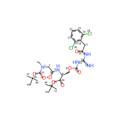 CN(CC(=O)N[C@@H](COC(=O)NC(=N)NC(=O)Cc1c(Cl)cccc1Cl)C(=O)OC(C)(C)C)C(=O)OC(C)(C)C